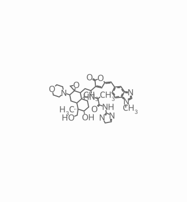 CC(NC(CC1C2(CO2)C(N2CCOCC2)CC2[C@]1(C)CC[C@@H](O)[C@@]2(C)CO)C1=C/C(=C\c2ccc3c(c2)ncn3C)OC1=O)C(=O)NC1=NCC=N1